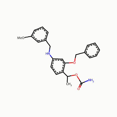 COc1cccc(CNc2ccc(C(C)OC(N)=O)c(OCc3ccccc3)c2)c1